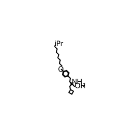 CC(C)CCCCCCCCOc1ccc(CC[C@@](N)(CO)CC2CCC2)cc1